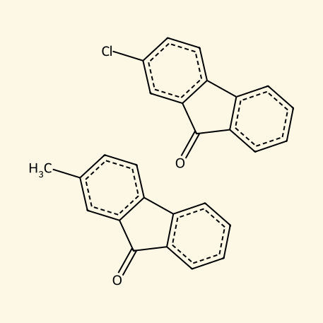 Cc1ccc2c(c1)C(=O)c1ccccc1-2.O=C1c2ccccc2-c2ccc(Cl)cc21